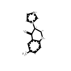 O=C1c2cc(C(F)(F)F)ccc2OCC1n1ccnc1